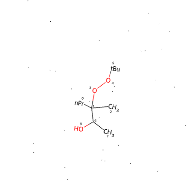 CCCC(C)(OOC(C)(C)C)C(C)O